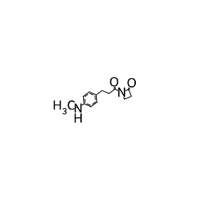 CNc1ccc(CCC(=O)N2CCC2=O)cc1